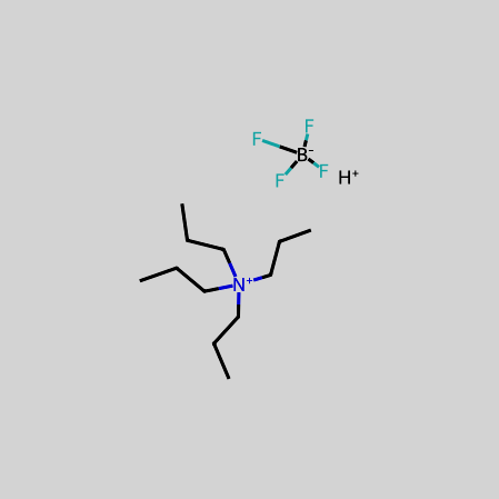 CCC[N+](CCC)(CCC)CCC.F[B-](F)(F)F.[H+]